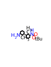 Cc1c(N)cccc1-c1cccc(NC(=O)OC(C)(C)C)c1C